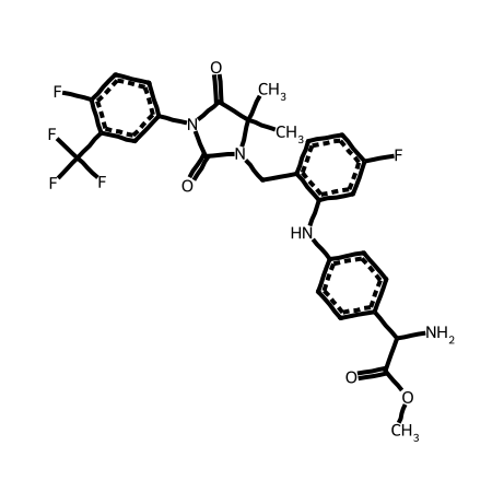 COC(=O)C(N)c1ccc(Nc2cc(F)ccc2CN2C(=O)N(c3ccc(F)c(C(F)(F)F)c3)C(=O)C2(C)C)cc1